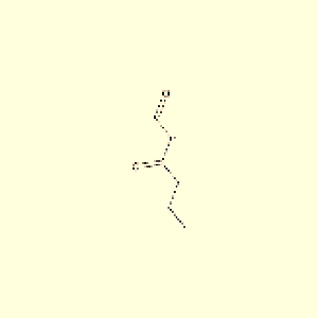 CCCC(=O)[CH]C=O